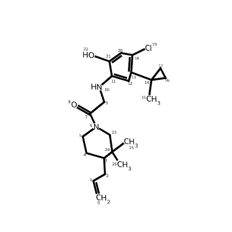 C=CCC1CCN(C(=O)CNc2cc(C3(C)CC3)c(Cl)cc2O)CC1(C)C